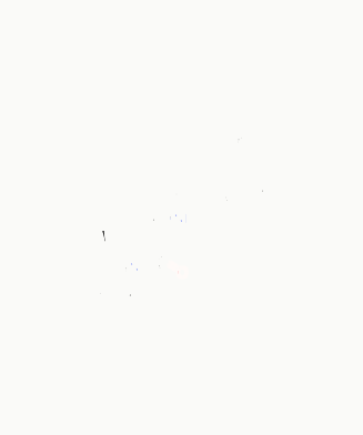 C[C@@H]1CCCN1C(=O)CN[C@H](C)c1ccccc1